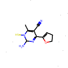 CC1=C(C#N)C(C2=CCCO2)=NC(N)N1S